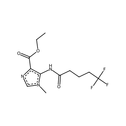 CCOC(=O)c1ncn(C)c1NC(=O)CCCC(F)(F)F